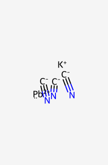 [C-]#N.[C-]#N.[C-]#N.[K+].[Pb+2]